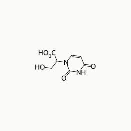 O=C(O)C(CO)n1ccc(=O)[nH]c1=O